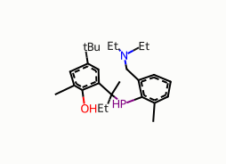 CCN(CC)Cc1cccc(C)c1PC(C)(CC)c1cc(C(C)(C)C)cc(C)c1O